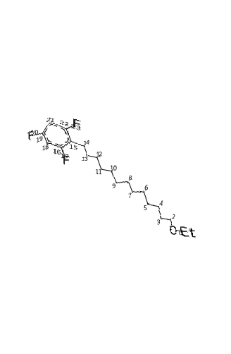 CCOCCCCCCCCCCCCCc1c(F)cc(F)cc1F